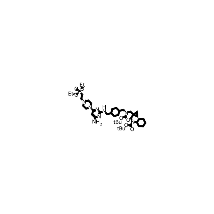 CCOP(=O)(CCN1CCN(c2cc(N)nc(NCC3CCC(CN(CC4(CN(C(=O)OC(C)(C)C)C5CCCCC5)CC4)C(=O)OC(C)(C)C)CC3)n2)CC1)OCC